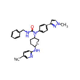 Cn1ccc(-c2ccc(N(C(=O)NCc3ccccc3)C3CCC(Nc4ccc(C#N)cn4)CC3)cc2)n1